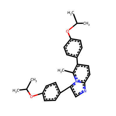 Cc1c(-c2ccc(OC(C)C)cc2)ccc2ncc(-c3ccc(OC(C)C)cc3)n12